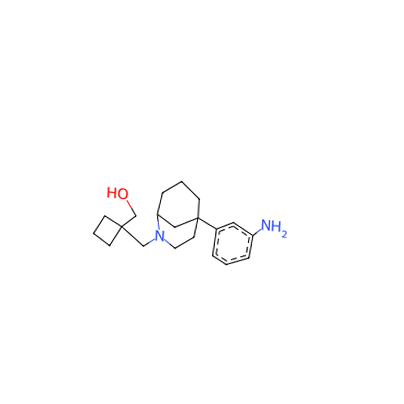 Nc1cccc(C23CCCC(C2)N(CC2(CO)CCC2)CC3)c1